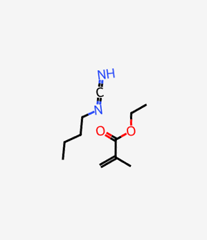 C=C(C)C(=O)OCC.CCCCN=C=N